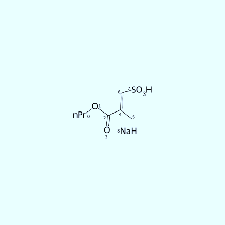 CCCOC(=O)C(C)=CS(=O)(=O)O.[NaH]